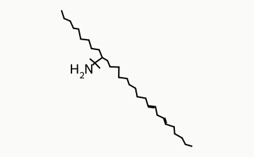 CCCCCC=CCC=CCCCCCCCCCC(CCCCCCCCC)C(C)(C)N